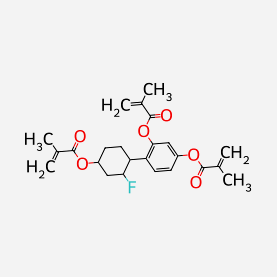 C=C(C)C(=O)Oc1ccc(C2CCC(OC(=O)C(=C)C)CC2F)c(OC(=O)C(=C)C)c1